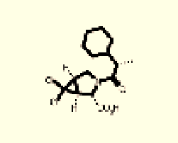 C[C@H](C(=O)N1C[C@H]2[C@@H]([C@H]1C(=O)O)C2(Cl)Cl)C1CCCCC1